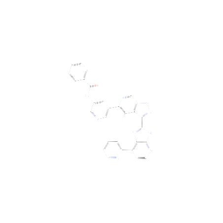 O=C(Nc1cncc(-c2ncc3[nH]nc(-c4nc5c(-c6ccccn6)ccnc5[nH]4)c3c2F)c1)c1ccccc1